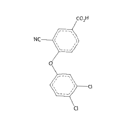 N#Cc1cc(C(=O)O)ccc1Oc1ccc(Cl)c(Cl)c1